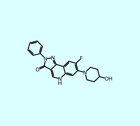 O=c1c2c[nH]c3cc(N4CCC(O)CC4)c(F)cc3c-2nn1-c1ccccc1